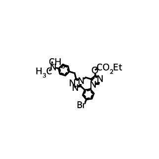 CCOC(=O)Oc1ncn2c1Cn1c(Cc3ccc(N(C)C)cc3)nnc1-c1cc(Br)ccc1-2